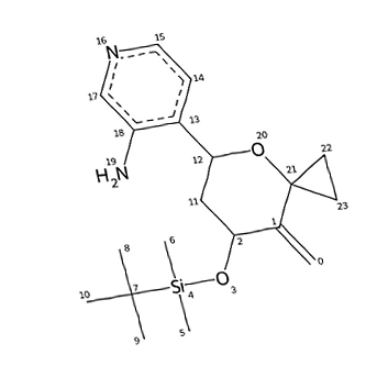 C=C1C(O[Si](C)(C)C(C)(C)C)CC(c2ccncc2N)OC12CC2